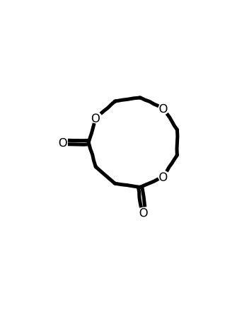 O=C1CCC(=O)OCCOCCO1